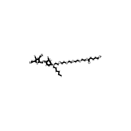 CCCCCCN(CCOCCOCCOCCOCCOC(=O)CCCC=O)c1ccc(/N=N/c2sc(C#N)c(C)c2C#N)c(C)c1